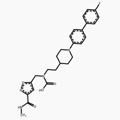 CNC(=O)c1cc(CN(CCC2CCN(c3ccc(-c4ccc(F)cc4)cc3)CC2)C(=O)O)on1